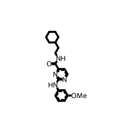 COc1cccc(Nc2nccc(C(=O)NCCC3CCCCC3)n2)c1